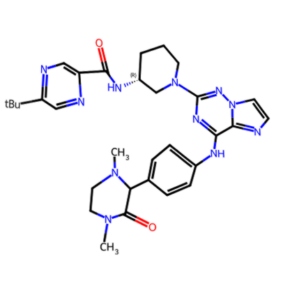 CN1CCN(C)C(c2ccc(Nc3nc(N4CCC[C@@H](NC(=O)c5cnc(C(C)(C)C)cn5)C4)nn4ccnc34)cc2)C1=O